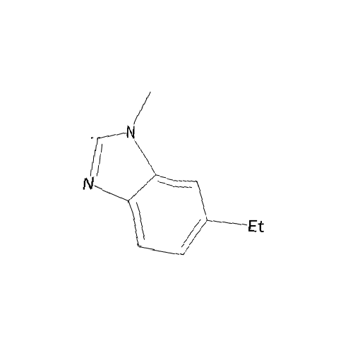 CCc1ccc2n[c]n(C)c2c1